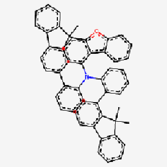 CC1(C)c2ccccc2-c2ccc(-c3ccccc3N(c3ccccc3-c3cccc4c3C(C)(C)c3ccccc3-4)c3cccc4oc5ccccc5c34)cc21